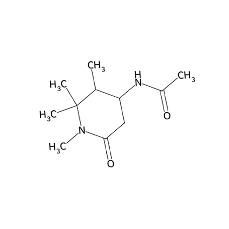 CC(=O)NC1CC(=O)N(C)C(C)(C)C1C